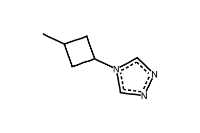 CC1CC(n2cnnc2)C1